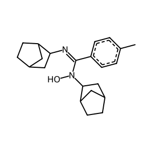 Cc1ccc(C(=NC2CC3CCC2C3)N(O)C2CC3CCC2C3)cc1